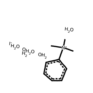 C[N+](C)(C)c1ccccc1.O.O.O.O.O.[I-]